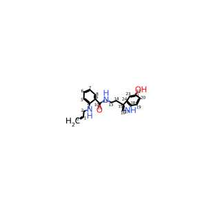 C=CCNc1ccccc1C(=O)NCCc1c[nH]c2ccc(O)cc12